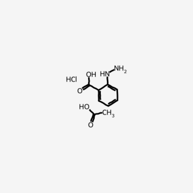 CC(=O)O.Cl.NNc1ccccc1C(=O)O